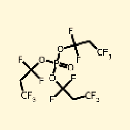 O=P(OC(F)(F)CC(F)(F)F)(OC(F)(F)CC(F)(F)F)OC(F)(F)CC(F)(F)F